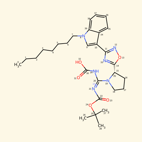 CCCCCCCCn1cc(-c2noc([C@@H]3CCCN3/C(=N\C(=O)OC(C)(C)C)NC(=O)O)n2)c2ccccc21